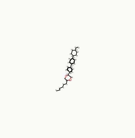 CCCCCCC1COC(c2ccc(-c3ccc(C4CCC(CC)CC4)cc3)cc2)CO1